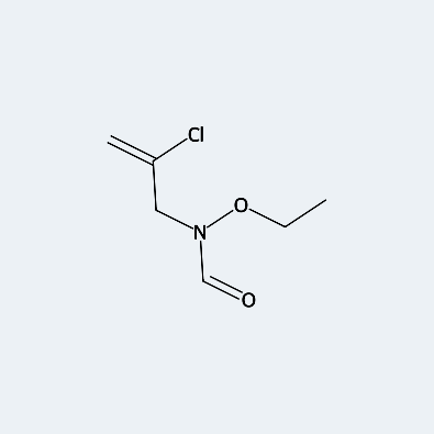 C=C(Cl)CN(C=O)OCC